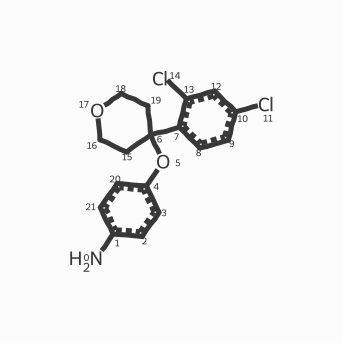 Nc1ccc(OC2(c3ccc(Cl)cc3Cl)CCOCC2)cc1